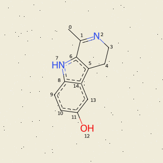 CC1=NCCc2c1[nH]c1ccc(O)cc21